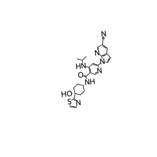 CC(C)Nc1cc(-n2ccc3cc(C#N)cnc32)ncc1C(=O)N[C@H]1CC[C@](O)(c2nccs2)CC1